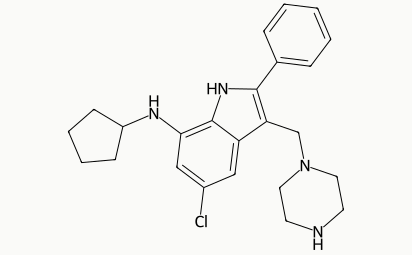 Clc1cc(NC2CCCC2)c2[nH]c(-c3ccccc3)c(CN3CCNCC3)c2c1